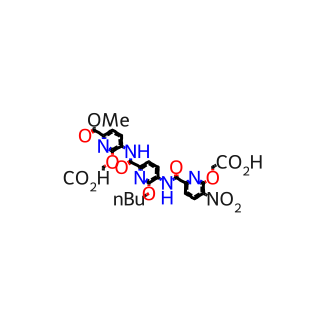 CCCCOc1nc(C(=O)Nc2ccc(C(=O)OC)nc2OCC(=O)O)ccc1NC(=O)c1ccc([N+](=O)[O-])c(OCC(=O)O)n1